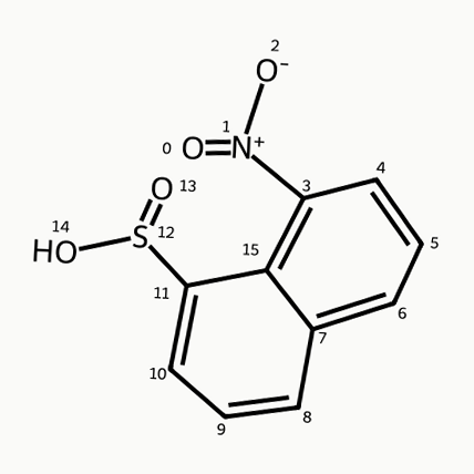 O=[N+]([O-])c1cccc2cccc(S(=O)O)c12